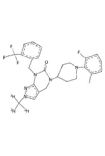 [2H]C([2H])([2H])n1cc2c(n1)N(Cc1ccccc1C(F)(F)F)C(=O)N(C1CCN(c3c(C)cccc3F)CC1)C2